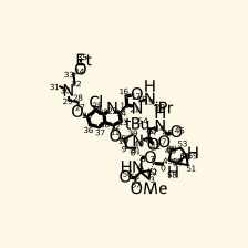 C=C[C@@H]1CC1(NC(=O)[C@@H]1C[C@@H](Oc2cc(-c3coc(NC(C)C)n3)nc3c(Cl)c(OCCN(C)CCOCC)ccc23)CN1C(=O)[C@@H](NC(=O)O[C@@H]1C[C@@H]2C[C@@H]2C1)C(C)(C)C)C(=O)OC